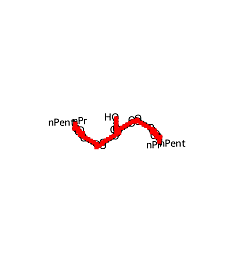 C=C(CCC(=O)OCCCCCCCCOc1ccc(OCCCCCCCCOC(=O)CCC(=O)OCCCCCCCCOc2ccc(C(=O)Oc3ccc(CCC(CCC)CCCCC)cc3)cc2)c(C(=O)OCCCCCCO)c1)OCCCCCCCCOc1ccc(C(=O)Oc2ccc(CCC(CCC)CCCCC)cc2)cc1